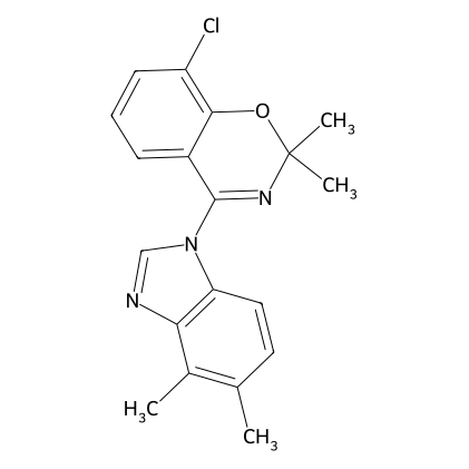 Cc1ccc2c(ncn2C2=NC(C)(C)Oc3c(Cl)cccc32)c1C